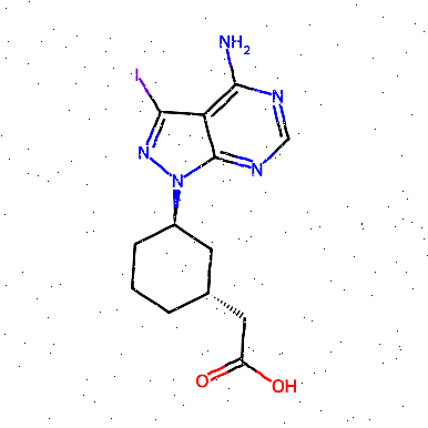 Nc1ncnc2c1c(I)nn2[C@@H]1CCC[C@@H](CC(=O)O)C1